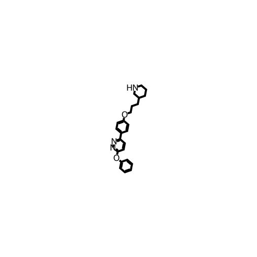 c1ccc(Oc2ccc(-c3ccc(OCCCC4CCCNC4)cc3)nn2)cc1